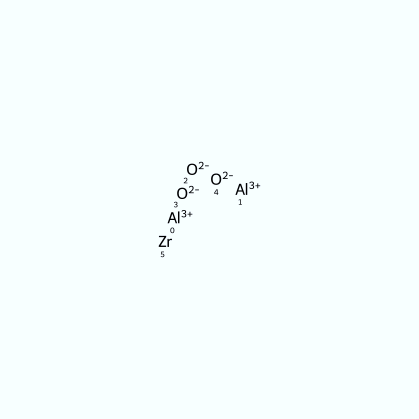 [Al+3].[Al+3].[O-2].[O-2].[O-2].[Zr]